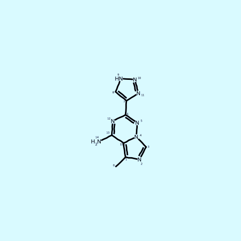 Cc1ncn2nc(-c3c[nH]nn3)nc(N)c12